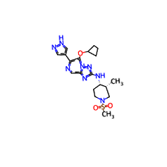 C[C@@H]1CN(S(C)(=O)=O)CC[C@@H]1Nc1nc2cnc(-c3cn[nH]c3)c(OC3CCC3)n2n1